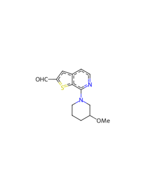 COC1CCCN(c2nccc3cc(C=O)sc23)C1